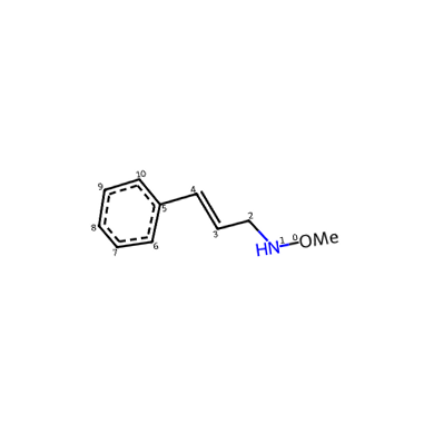 CONCC=Cc1ccccc1